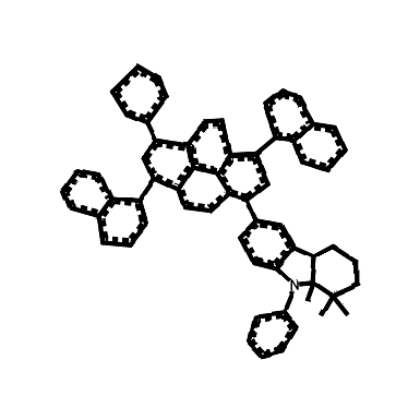 CC1(C)CCCC2c3cc(-c4cc(-c5cccc6ccccc56)c5ccc6c(-c7ccccc7)cc(-c7cccc8ccccc78)c7ccc4c5c67)ccc3N(c3ccccc3)C21C